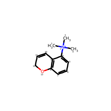 C[N+](C)(C)c1cccc2c1C=CCO2